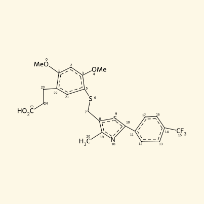 COc1cc(OC)c(SCc2sc(-c3ccc(C(F)(F)F)cc3)nc2C)cc1CCC(=O)O